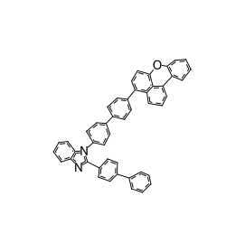 c1ccc(-c2ccc(-c3nc4ccccc4n3-c3ccc(-c4ccc(-c5ccc6c7c(cccc57)-c5ccccc5O6)cc4)cc3)cc2)cc1